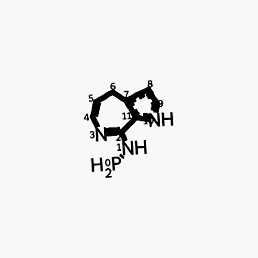 PNC1=NC=CCc2cc[nH]c21